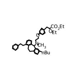 CCCCc1ccc2c(c1)C(N(C)CCOc1ccc(CC(OCC)C(=O)OCC)cc1)c1cccc(CCc3ccccc3)c1CC2